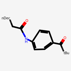 CCCCCCCCCCCC(=O)Nc1ccc(C(=O)C(C)(C)C)cc1